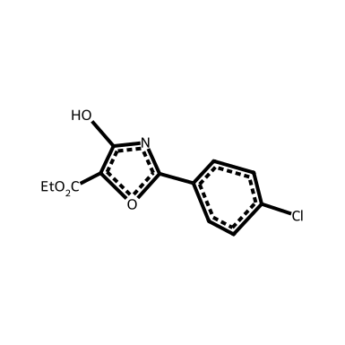 CCOC(=O)c1oc(-c2ccc(Cl)cc2)nc1O